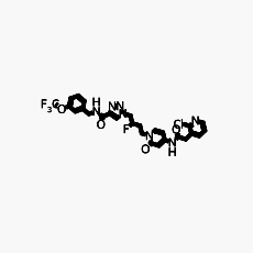 O=C(Cc1cccnc1Cl)Nc1ccn(CCC(F)Cn2cc(C(=O)NCc3cccc(OC(F)(F)F)c3)nn2)c(=O)c1